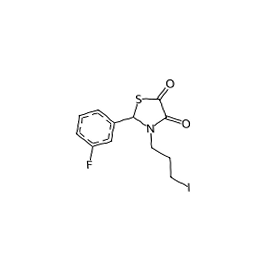 O=C1SC(c2cccc(F)c2)N(CCCI)C1=O